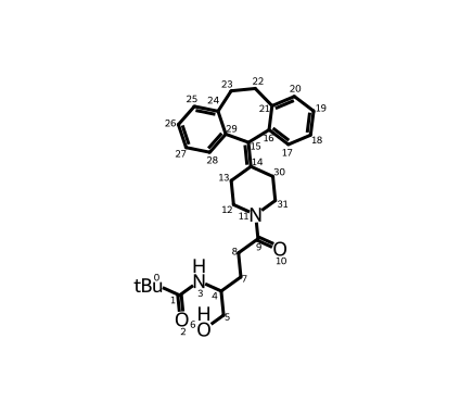 CC(C)(C)C(=O)NC(CO)CCC(=O)N1CCC(=C2c3ccccc3CCc3ccccc32)CC1